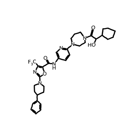 O=C(Nc1ccc(N2CCCN(C(=O)C(O)C3CCCCC3)CC2)nc1)c1oc(N2CCC(c3ccccc3)CC2)nc1C(F)(F)F